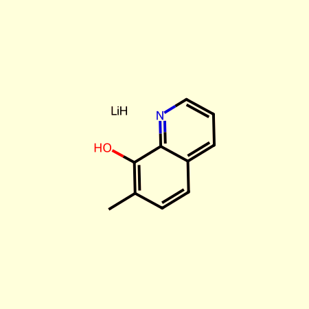 Cc1ccc2cccnc2c1O.[LiH]